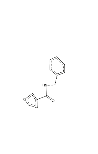 O=C(NCc1ccccc1)c1ccoc1